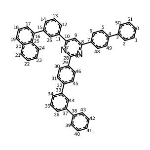 c1ccc(-c2ccc(-c3cc(-c4cccc(-c5cccc6ccccc56)c4)nc(-c4ccc(-c5cccc(-c6ccccc6)c5)cc4)n3)cc2)cc1